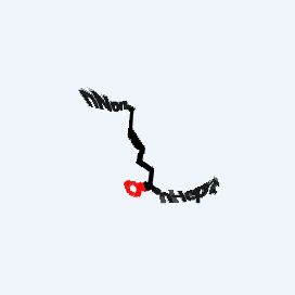 CCCCCCCCCCCCCCC(=O)CCCCCCC